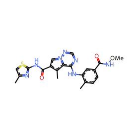 CONC(=O)c1ccc(C)c(Nc2ncnn3cc(C(=O)Nc4nc(C)cs4)c(C)c23)c1